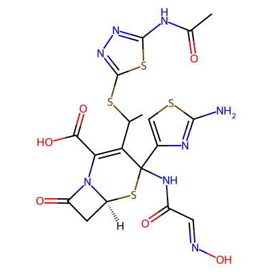 CC(=O)Nc1nnc(SC(C)C2=C(C(=O)O)N3C(=O)C[C@@H]3SC2(NC(=O)C=NO)c2csc(N)n2)s1